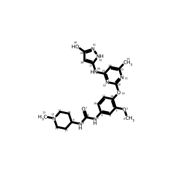 COc1cc(NC(=O)NC2CCN(C)CC2)ccc1Oc1nc(C)cc(Nc2cc(O)n[nH]2)n1